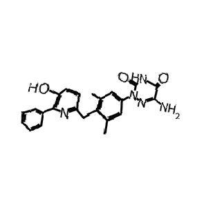 Cc1cc(-n2nc(N)c(=O)[nH]c2=O)cc(C)c1Cc1ccc(O)c(-c2ccccc2)n1